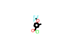 Cc1cc(C(=O)Cl)ccc1OC(F)(F)F